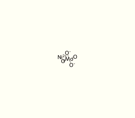 [Ni+2].[O]=[Mo](=[O])([O-])[O-]